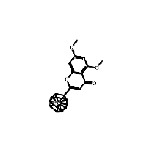 COc1cc(OC)c2c(=O)cc([C]34[CH]5[CH]6[CH]7[CH]3[Fe]6754389%10[CH]4[CH]3[CH]8[CH]9[CH]4%10)oc2c1